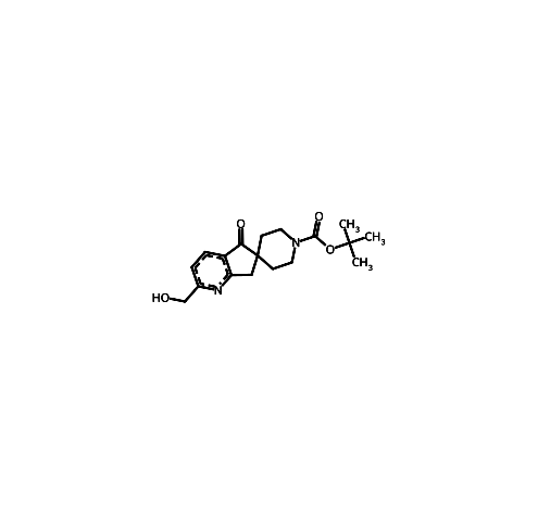 CC(C)(C)OC(=O)N1CCC2(CC1)Cc1nc(CO)ccc1C2=O